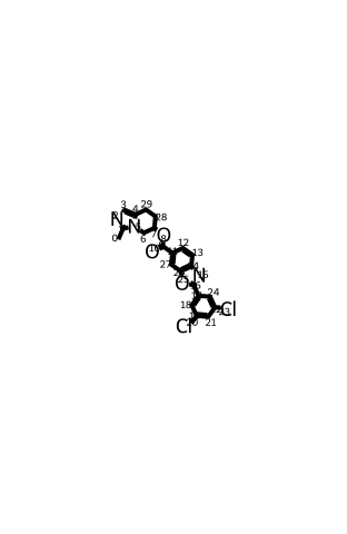 Cc1ncc2n1CC(OC(=O)c1ccc3nc(-c4cc(Cl)cc(Cl)c4)oc3c1)CC2